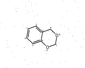 [c]1ccc2c(c1)OCOC2